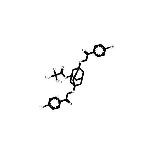 CCC(C)(C)C(=O)OC12CC3CC(OCC(=O)c4ccc(O)cc4)(CC(OCC(=O)c4ccc(O)cc4)(C3)C1)C2